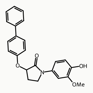 COc1cc(N2CCC(Oc3ccc(-c4ccccc4)cc3)C2=O)ccc1O